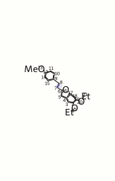 CCOc1cc2cc(/C=C/c3ccc(OC)cc3)oc2cc1OCC